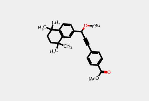 CCCCOC(C#Cc1ccc(C(=O)OC)cc1)c1ccc2c(c1)C(C)(C)CCC2(C)C